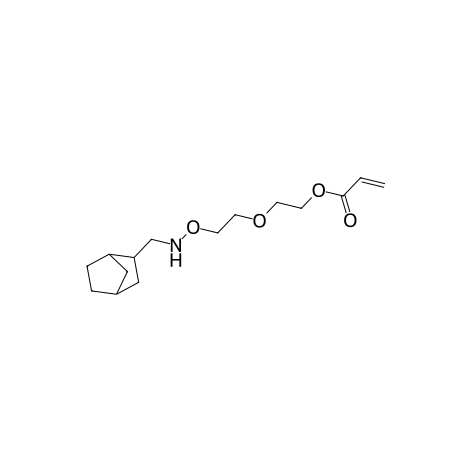 C=CC(=O)OCCOCCONCC1CC2CCC1C2